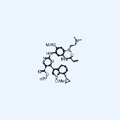 C=CC(=O)Nc1cc(Nc2ncc(C(=O)OCCC)c(-c3cn(OC)c4c(C5CC5)cccc34)n2)c(OC)cc1N(C)CCN(C)C